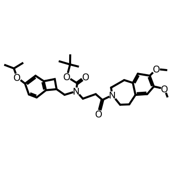 COc1cc2c(cc1OC)CCN(C(=O)CCN(CC1Cc3cc(OC(C)C)ccc31)C(=O)OC(C)(C)C)CC2